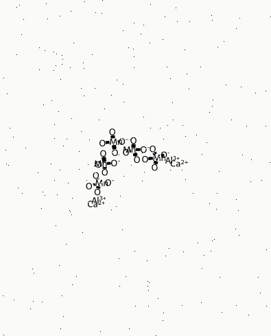 [Al+3].[Al+3].[Ca+2].[Ca+2].[O]=[Mn](=[O])([O-])[O-].[O]=[Mn](=[O])([O-])[O-].[O]=[Mn](=[O])([O-])[O-].[O]=[Mn](=[O])([O-])[O-].[O]=[Mn](=[O])([O-])[O-]